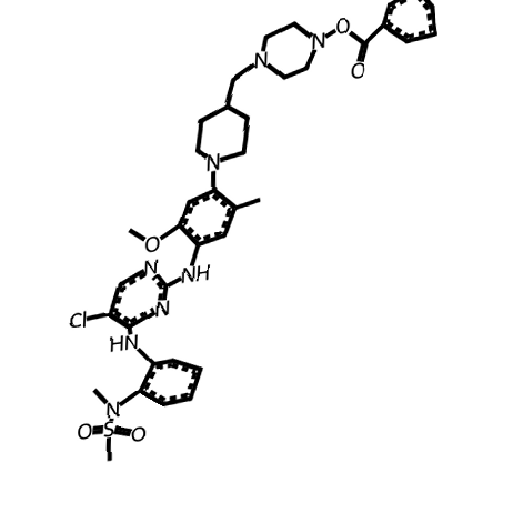 COc1cc(N2CCC(CN3CCN(OC(=O)c4ccccc4)CC3)CC2)c(C)cc1Nc1ncc(Cl)c(Nc2ccccc2N(C)S(C)(=O)=O)n1